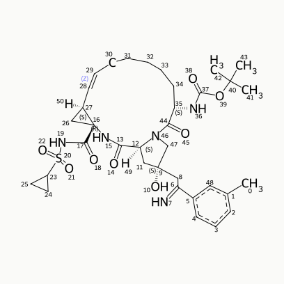 Cc1cccc(C(=N)C[C@@]2(O)C[C@H]3C(=O)N[C@]4(C(=O)NS(=O)(=O)C5CC5)C[C@H]4/C=C\CCCCC[C@H](NC(=O)OC(C)(C)C)C(=O)N3C2)c1